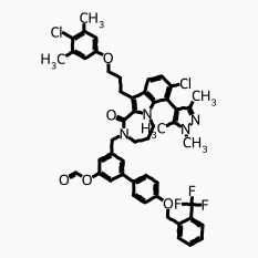 Cc1cc(OCCCc2c3n(c4c(-c5c(C)nn(C)c5C)c(Cl)ccc24)CCCN(Cc2cc(OC=O)cc(-c4ccc(OCc5ccccc5C(F)(F)F)cc4)c2)C3=O)cc(C)c1Cl